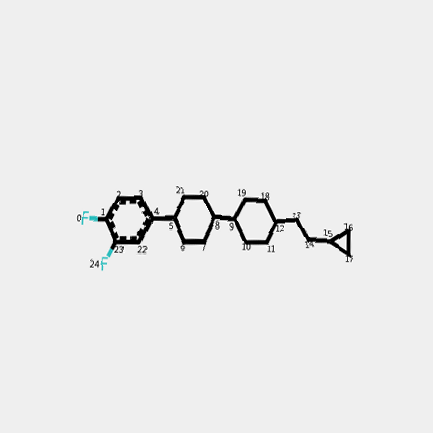 Fc1ccc(C2CCC(C3CCC(CCC4CC4)CC3)CC2)cc1F